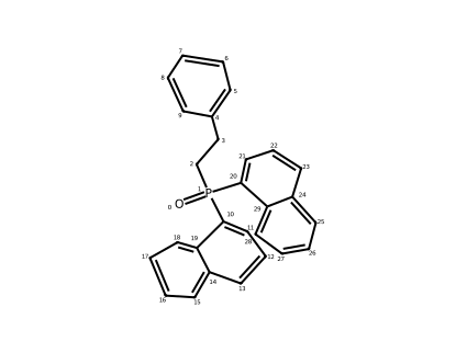 O=P(CCc1ccccc1)(c1cccc2ccccc12)c1cccc2ccccc12